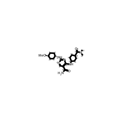 CO[C@H]1CC[C@H](Nc2ncc(C(N)=O)c(NC3CCC(C(=O)N(C)C)CC3)n2)CC1